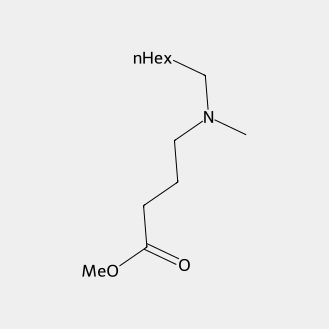 CCCCCCCN(C)CCCC(=O)OC